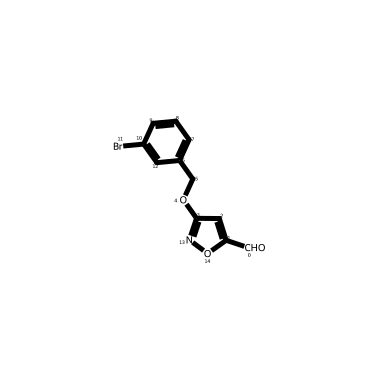 O=Cc1cc(OCc2cccc(Br)c2)no1